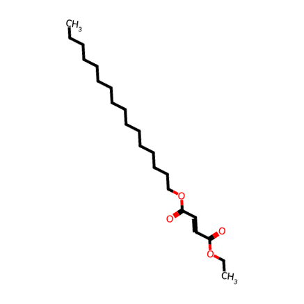 CCCCCCCCCCCCCCCCOC(=O)/C=C/C(=O)OCC